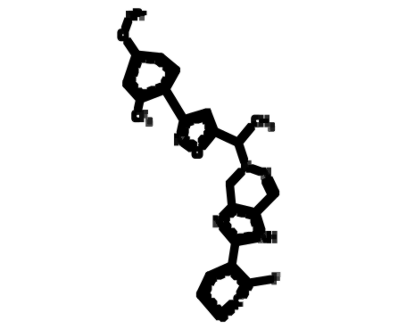 CCCOc1ccc(-c2cc(C(C)N3Cc4nc(-c5ccccc5F)[nH]c4C=N3)on2)c(C(F)(F)F)c1